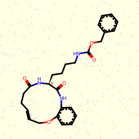 O=C1CC/C=C/COc2ccccc2NC(=O)[C@H](CCCCNC(=O)OCc2ccccc2)N1